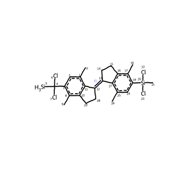 Cc1cc(C([SiH3])(Cl)Cl)c(C)c2c1/C(=C1\CCc3c(C)c([Si](C)(Cl)Cl)cc(C)c31)CC2